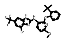 COc1ccc(Nc2nc3c(Br)cc(C(F)(F)F)cc3[nH]2)c(Oc2ccccc2C(C)(C)C)n1